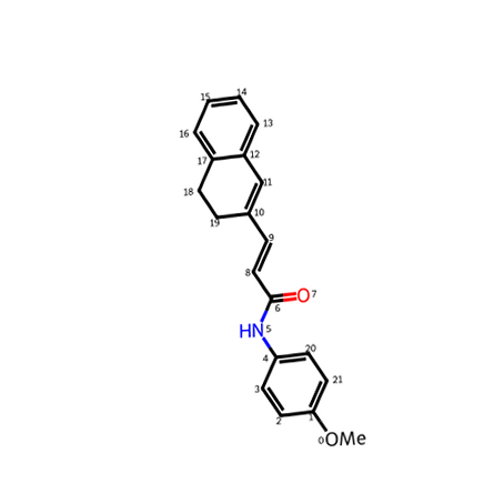 COc1ccc(NC(=O)C=CC2=Cc3ccccc3CC2)cc1